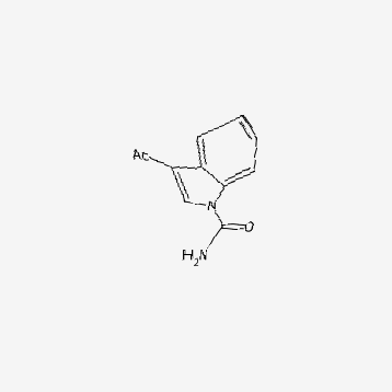 CC(=O)c1cn(C(N)=O)c2ccccc12